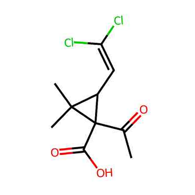 CC(=O)C1(C(=O)O)C(C=C(Cl)Cl)C1(C)C